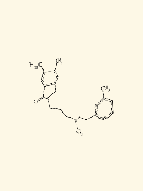 Cc1cccc(CCN(C)CCCN2Cc3cc(C)c(C)cc3C2=O)n1